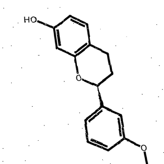 COc1cccc([C@@H]2CCc3ccc(O)cc3O2)c1